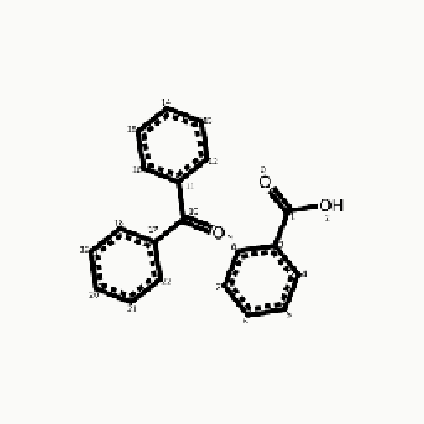 O=C(O)c1ccccc1.O=C(c1ccccc1)c1ccccc1